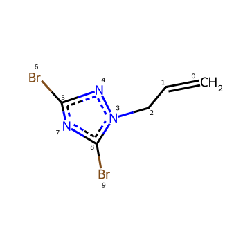 C=CCn1nc(Br)nc1Br